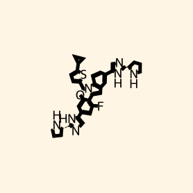 Fc1cc(-c2cnc([C@@H]3CCCN3)[nH]2)cc2c1-c1cc3cc(-c4cnc([C@@H]5CCCN5)[nH]4)ccc3n1C(c1ccc(C3CC3)s1)O2